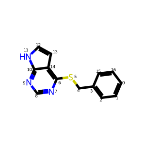 c1ccc(CSc2ncnc3[nH]ccc23)cc1